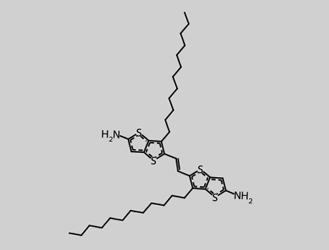 CCCCCCCCCCCCc1c(/C=C/c2sc3cc(N)sc3c2CCCCCCCCCCCC)sc2cc(N)sc12